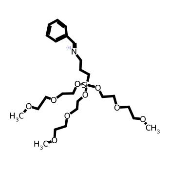 COCCOCCO[Si](CCC/N=C/c1ccccc1)(OCCOCCOC)OCCOCCOC